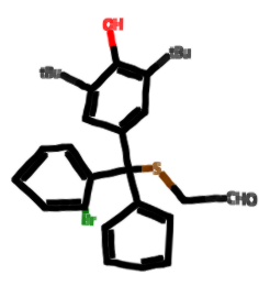 CC(C)(C)c1cc(C(SCC=O)(c2ccccc2)c2ccccc2Br)cc(C(C)(C)C)c1O